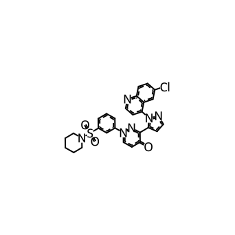 O=c1ccn(-c2cccc(S(=O)(=O)N3CCCCC3)c2)nc1-c1ccnn1-c1ccnc2ccc(Cl)cc12